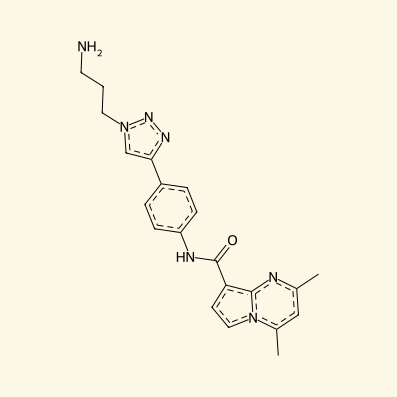 Cc1cc(C)n2ccc(C(=O)Nc3ccc(-c4cn(CCCN)nn4)cc3)c2n1